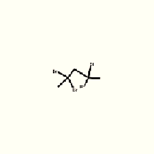 CC(Br)(Br)CC(C)(Br)Br